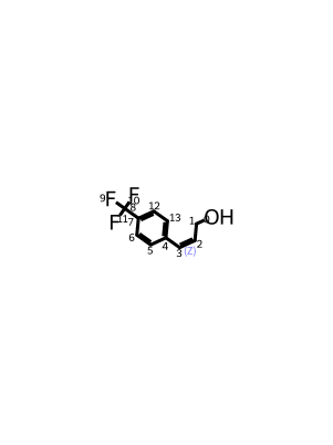 OC/C=C\c1ccc(C(F)(F)F)cc1